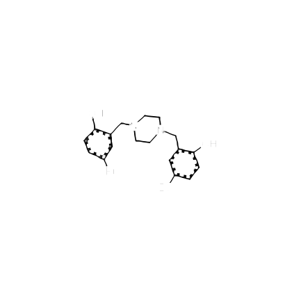 CCc1ccc(O)c(CN2CCN(Cc3cc(CC)ccc3O)CC2)c1